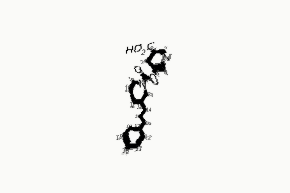 O=C(O)c1cncc(OC(=O)N2CCCC(CCCc3ccccc3)C2)c1